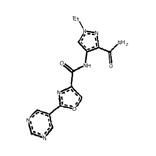 CCn1cc(NC(=O)c2coc(-c3cncnc3)n2)c(C(N)=O)n1